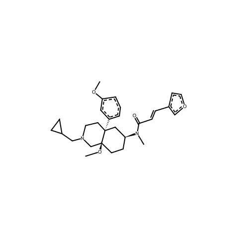 COc1cccc([C@@]23CCN(CC4CC4)C[C@@]2(OC)CC[C@H](N(C)C(=O)/C=C/c2ccoc2)C3)c1